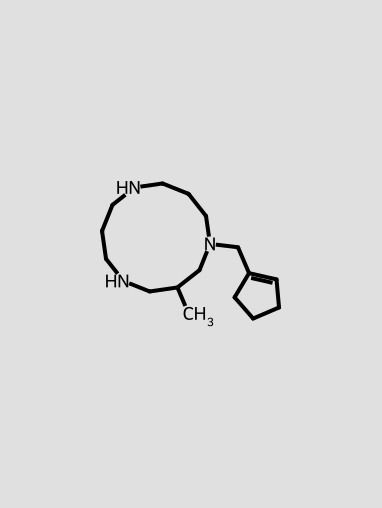 CC1CNCCCNCCCN(CC2=CCCC2)C1